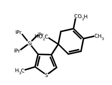 CC1=C(C(=O)O)CC(C(=O)O)(c2csc(C)c2[Si](C(C)C)(C(C)C)C(C)C)C=C1